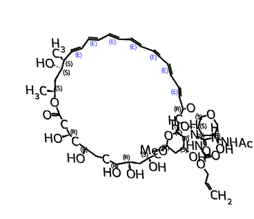 C=CCOC(=O)N[C@@H]1[C@H](O)[C@H](O[C@H]2/C=C/C=C/C=C/C=C/C=C/C=C/C=C/[C@H](C)[C@@H](O)C[C@H](C)OC(=O)C[C@H](O)C[C@H](O)CC[C@@H](O)[C@H](O)C[C@H](O)C[C@]3(OC)C[C@H](O)[C@@H](NC(=O)NNC(C)=O)[C@H](C2)O3)OC[C@H]1O